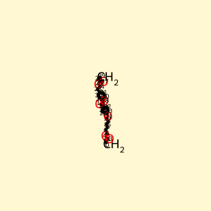 C=CC(=O)OCCCCCCOc1ccc(C(=O)Oc2ccc(CCOC(=O)C=C)cc2)cc1